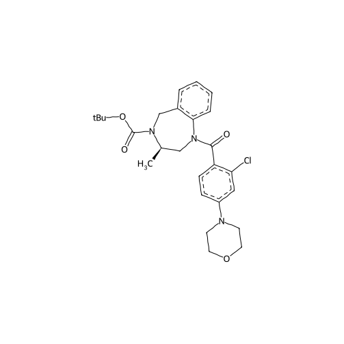 C[C@@H]1CN(C(=O)c2ccc(N3CCOCC3)cc2Cl)c2ccccc2CN1C(=O)OC(C)(C)C